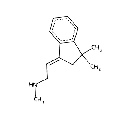 CNCC=C1CC(C)(C)c2ccccc21